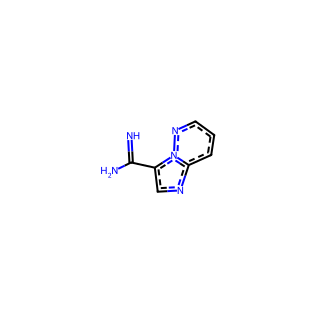 N=C(N)c1cnc2cccnn12